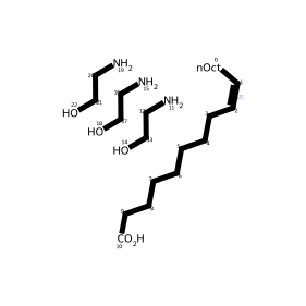 CCCCCCCC/C=C\CCCCCCCC(=O)O.NCCO.NCCO.NCCO